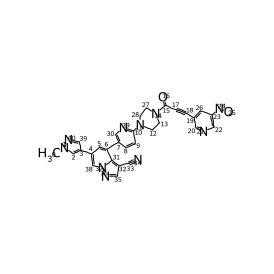 Cn1cc(-c2cc(-c3ccc(N4CCN(C(=O)C#Cc5cncc(N=O)c5)CC4)nc3)c3c(C#N)cnn3c2)cn1